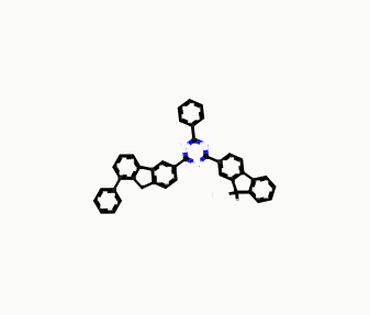 CC1(C)c2ccccc2-c2ccc(-c3nc(-c4ccccc4)nc(-c4ccc5c(c4)-c4cccc(-c6ccccc6)c4C5)n3)cc21